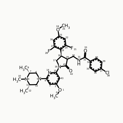 COc1cc(N2C[C@@H](C)N(C)[C@@H](C)C2)nc(N2C[C@@H](c3c(F)cc(OC)cc3F)C(CNC(=O)c3ccc(Cl)cc3)C2=O)c1